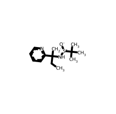 [CH2]C(CC)(N[S+]([O-])C(C)(C)C)c1ccccn1